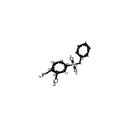 O=S(=O)(Cc1ccccc1)c1ccc(F)c(Cl)c1